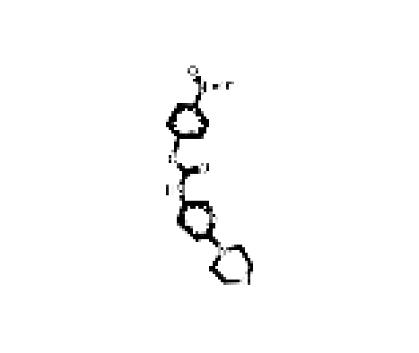 O=C(Nc1ccc(N2CCOCC2)nc1)Oc1ccc([N+](=O)[O-])cc1